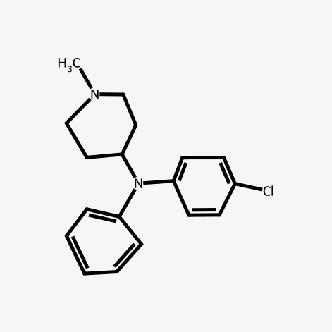 CN1CCC(N(c2ccccc2)c2ccc(Cl)cc2)CC1